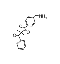 CC(C)(C(=O)c1ccccc1)S(=O)(=O)c1ccc(CN)cc1